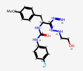 COc1ccc(C[C@H](NC(=O)Nc2ccc(F)cc2)/C(N=N)=N/NCCO)cc1